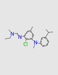 CCN(C)C=Nc1cc(C)cc(N(C)c2cccc(C(C)C)c2)c1Cl